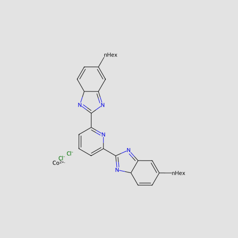 CCCCCCC1=CC2=NC(c3cccc(C4=NC5C=CC(CCCCCC)=CC5=N4)n3)=NC2C=C1.[Cl-].[Cl-].[Co+2]